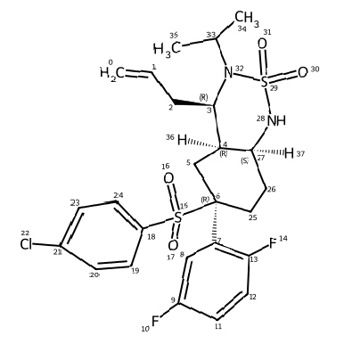 C=CC[C@@H]1[C@@H]2C[C@](c3cc(F)ccc3F)(S(=O)(=O)c3ccc(Cl)cc3)CC[C@@H]2NS(=O)(=O)N1C(C)C